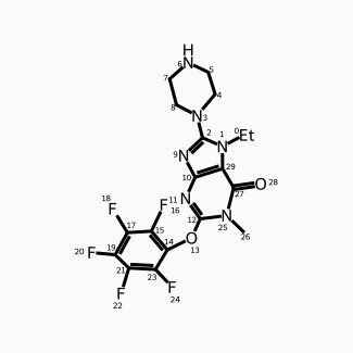 CCn1c(N2CCNCC2)nc2nc(Oc3c(F)c(F)c(F)c(F)c3F)n(C)c(=O)c21